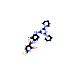 O=C(Nc1ccc(Nc2nc(N3CCCCC3)nc(N3CCCCC3)n2)cc1Cl)c1ccc(C(F)(F)F)nc1O